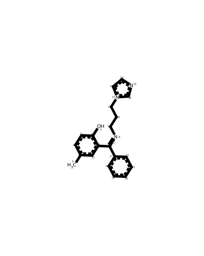 Cc1ccc(O)c(/C(=N\CCCn2ccnc2)c2ccccc2)c1